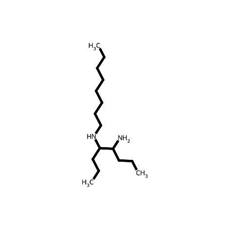 CCCCCCCCNC(CCC)C(N)CCC